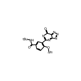 CCCOc1ccc(C(=O)NC(C)(C)C)cc1C1=NC(=O)C2=NN=NC2=N1